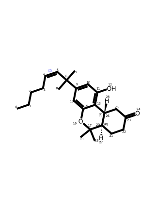 CCCC/C=C\C(C)(C)c1cc(O)c2c(c1)OC(C)(C)[C@@H]1CCC(=O)C[C@@H]21